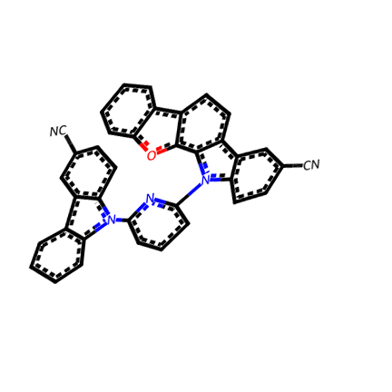 N#Cc1ccc2c(c1)c1ccccc1n2-c1cccc(-n2c3ccc(C#N)cc3c3ccc4c5ccccc5oc4c32)n1